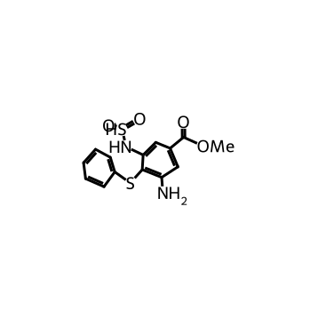 COC(=O)c1cc(N)c(Sc2ccccc2)c(N[SH](=O)=O)c1